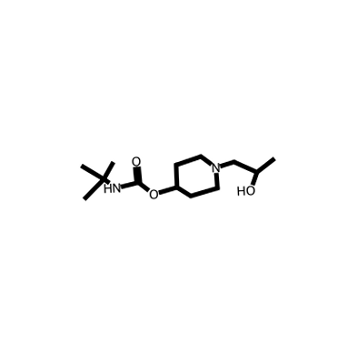 CC(O)CN1CCC(OC(=O)NC(C)(C)C)CC1